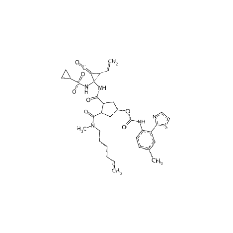 C=CCCCCN(C)C(=O)C1CC(OC(=O)Nc2ccc(C)cc2-c2nccs2)CC1C(=O)NC1(NS(=O)(=O)C2CC2)C(=C=O)C1C=C